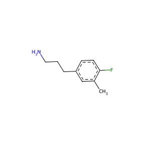 Cc1cc(CCCN)ccc1F